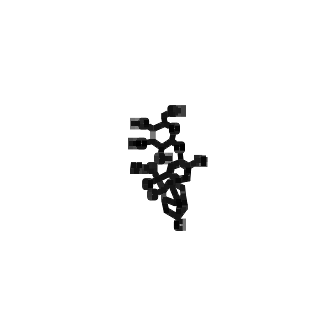 CCc1ccc(C2(OC)OOC23C2CC4CC3CC(Cl)(C4)C2)cc1OC1OC(CO)C(O)C(O)C1O